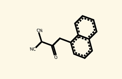 N#CC(C#N)C(=O)Cc1cccc2ccccc12